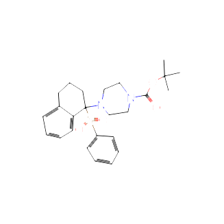 CC(C)(C)OC(=O)N1CCN(C2(S(=O)(=O)c3ccccc3)CCCc3ccccc32)CC1